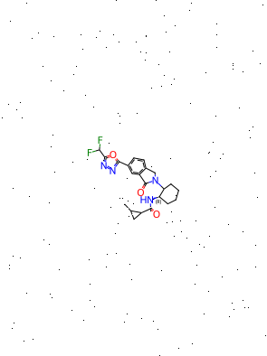 CC1CC1C(=O)N[C@@H]1CCCCC1N1Cc2ccc(-c3nnc(C(F)F)o3)cc2C1=O